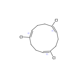 Cl/C1=C/CC/C(Cl)=C\CC/C(Cl)=C\CC1